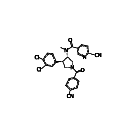 CN(C(=O)c1ccc(C#N)nc1)[C@@H]1CN(C(=O)c2ccc(C#N)cc2)C[C@H]1c1ccc(Cl)c(Cl)c1